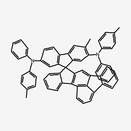 Cc1ccc(N(c2ccccc2)c2ccc3c(c2)C2(c4cc(N(c5ccccc5)c5ccc(C)cc5)c(C)cc4-3)c3ccccc3-c3c2cc2c4c(cccc34)-c3ccccc3-2)cc1